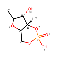 CC1OC2COP(=O)(O)O[C@H]2[C@H]1O